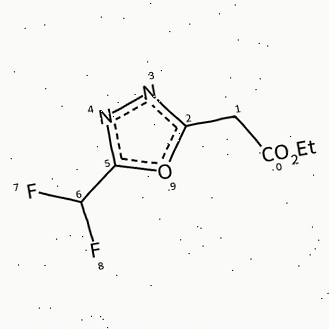 CCOC(=O)Cc1nnc(C(F)F)o1